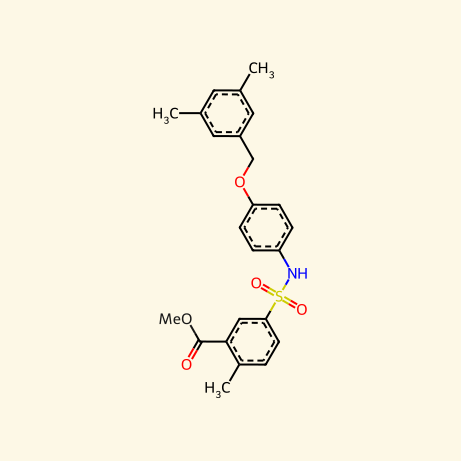 COC(=O)c1cc(S(=O)(=O)Nc2ccc(OCc3cc(C)cc(C)c3)cc2)ccc1C